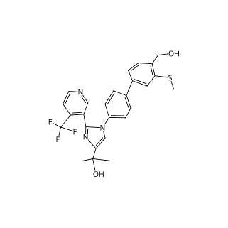 CSc1cc(-c2ccc(-n3cc(C(C)(C)O)nc3-c3cnccc3C(F)(F)F)cc2)ccc1CO